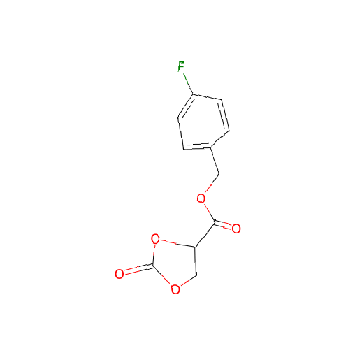 O=C1OCC(C(=O)OCc2ccc(F)cc2)O1